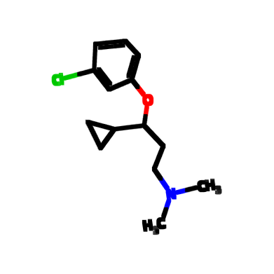 CN(C)CCC(Oc1cccc(Cl)c1)C1CC1